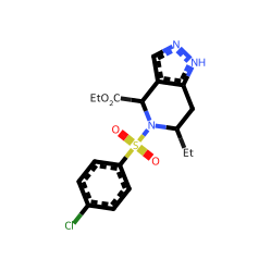 CCOC(=O)C1c2cn[nH]c2CC(CC)N1S(=O)(=O)c1ccc(Cl)cc1